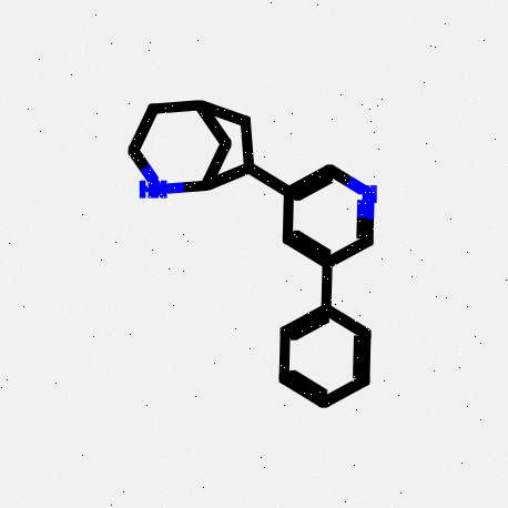 c1ccc(-c2cncc(C3CC4CCNC3C4)c2)cc1